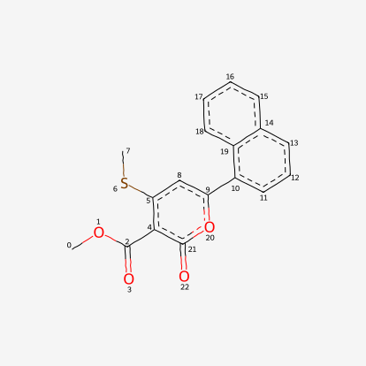 COC(=O)c1c(SC)cc(-c2cccc3ccccc23)oc1=O